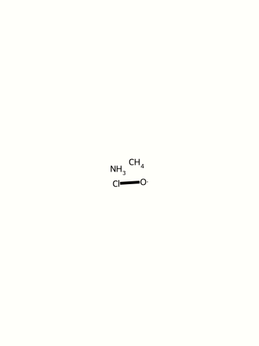 C.N.[O]Cl